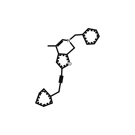 CC1=CN(Cc2ccccc2)Cc2oc(C#CCc3ccccc3)cc21